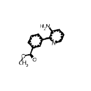 COC(=O)c1cccc(-c2ncccc2N)c1